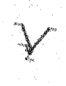 CCCCCCCCCCCCCCCCC(=O)OC(COC(=O)CCCCCCCCCCCCCCC)COC(=O)C(COCCOCCOCCOCCOCCOCCOCCOCCOCCOCCOC)OCCOCCOCCOCCOCCOCCOCCOCCOCCOCCOC